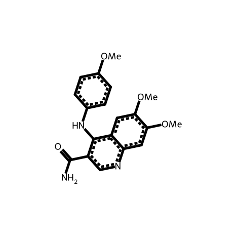 COc1ccc(Nc2c(C(N)=O)cnc3cc(OC)c(OC)cc23)cc1